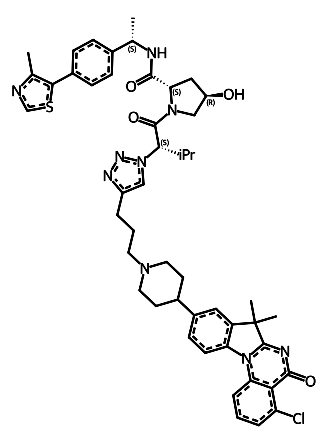 Cc1ncsc1-c1ccc([C@H](C)NC(=O)[C@@H]2C[C@@H](O)CN2C(=O)[C@H](C(C)C)n2cc(CCCN3CCC(c4ccc5c(c4)C(C)(C)c4nc(=O)c6c(Cl)cccc6n4-5)CC3)nn2)cc1